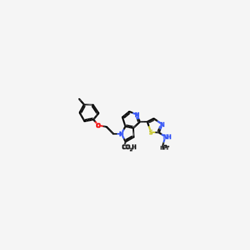 CCCNc1ncc(-c2nccc3c2cc(C(=O)O)n3CCOc2ccc(C)cc2)s1